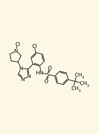 CC(C)(C)c1ccc(S(=O)(=O)Nc2ccc(Cl)cc2-c2nncn2C2CCN(Cl)C2)cc1